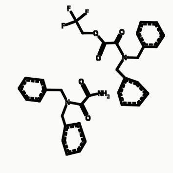 NC(=O)C(=O)N(Cc1ccccc1)Cc1ccccc1.O=C(OCC(F)(F)F)C(=O)N(Cc1ccccc1)Cc1ccccc1